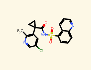 O=C(NS(=O)(=O)c1cccc2ncccc12)C1(c2cc(Cl)cnc2C(F)(F)F)CC1